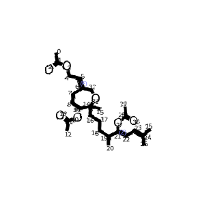 CC(=O)OC/C=C1\CC[C@@H](OC(C)=O)C(C)(CCCC(C)/C(=C/C=C(C)C)OC(C)=O)OC1